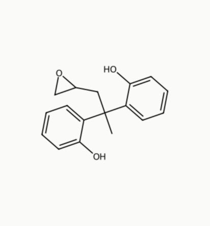 CC(CC1CO1)(c1ccccc1O)c1ccccc1O